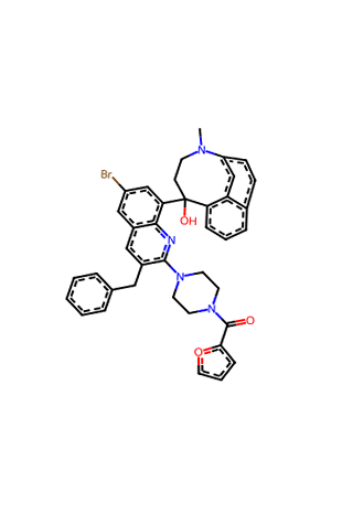 CN1CCC(O)(c2cc(Br)cc3cc(Cc4ccccc4)c(N4CCN(C(=O)c5ccco5)CC4)nc23)c2cccc3ccc1cc23